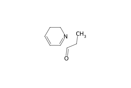 C1=CCCN=C1.CCC=O